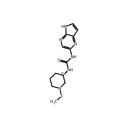 CSN1CCC[C@@H](NC(=O)Nc2cnc3[nH]ccc3n2)C1